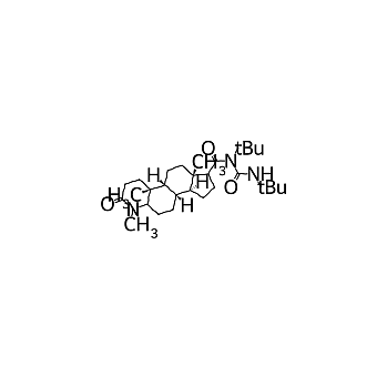 CN1C(=O)CC[C@@]2(C)C1CC[C@@H]1[C@H]2CC[C@]2(C)C(C(=O)N(C(=O)NC(C)(C)C)C(C)(C)C)CC[C@@H]12